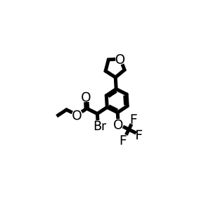 CCOC(=O)C(Br)c1cc(C2CCOC2)ccc1OC(F)(F)F